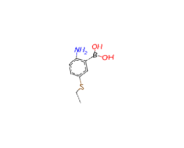 CCSc1ccc(N)c(B(O)O)c1